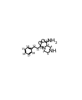 NC(=O)C1CNCCN1C(=O)[CH]Cc1ccccc1